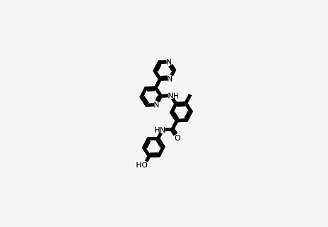 Cc1ccc(C(=O)Nc2ccc(O)cc2)cc1Nc1ncccc1-c1ccncn1